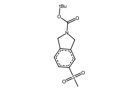 CC(C)(C)OC(=O)N1Cc2ccc(S(C)(=O)=O)cc2C1